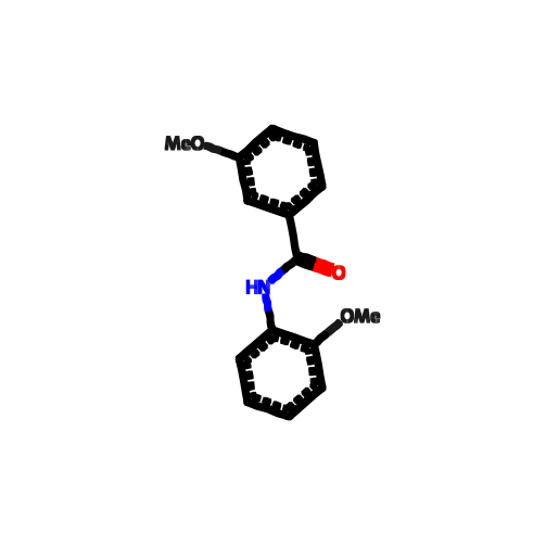 COc1cccc(C(=O)Nc2ccccc2OC)c1